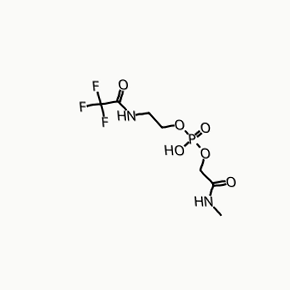 CNC(=O)COP(=O)(O)OCCNC(=O)C(F)(F)F